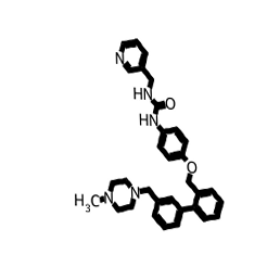 CN1CCN(Cc2cccc(-c3ccccc3COc3ccc(NC(=O)NCc4cccnc4)cc3)c2)CC1